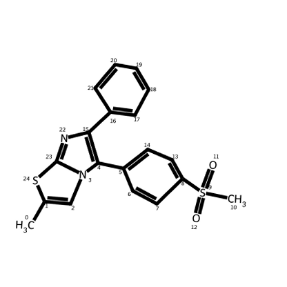 Cc1cn2c(-c3ccc(S(C)(=O)=O)cc3)c(-c3ccccc3)nc2s1